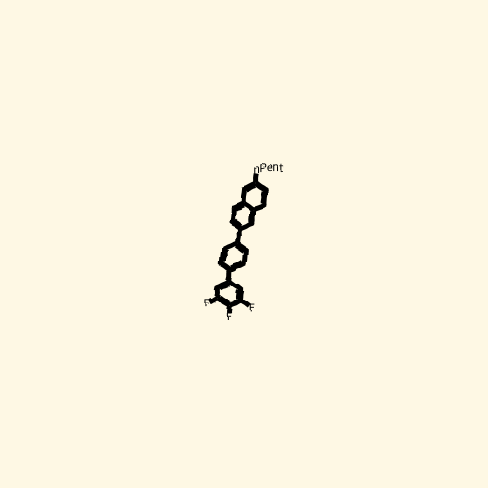 CCCCCc1ccc2cc(-c3ccc(-c4cc(F)c(F)c(F)c4)cc3)ccc2c1